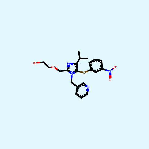 CC(C)c1nc(COCCO)n(Cc2cccnc2)c1Sc1cccc([N+](=O)[O-])c1